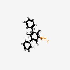 Cc1c(P)c(C)c(-c2ccccc2)c(C)c1-c1ccccc1